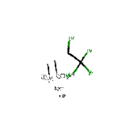 BrCC(Br)(Br)Br.CC(=O)O.CC(=O)O.[Co].[Mn]